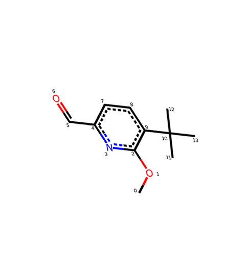 COc1nc(C=O)ccc1C(C)(C)C